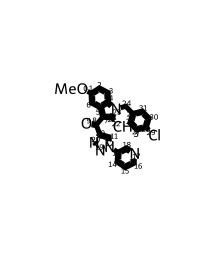 COc1ccc2c(c1)c(C(=O)c1cn(-c3cccnc3)nn1)c(C)n2Cc1ccc(Cl)cc1